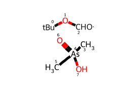 CC(C)(C)O[C]=O.C[As](C)(=O)O